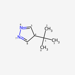 CC(C)(C)C1C=NN=C1